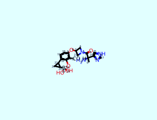 CC(N)(C(=O)N1CC(Oc2ccc3c(c2C(=O)O)O[B-](O)(O)C2CC32)C1)c1c[nH]cn1